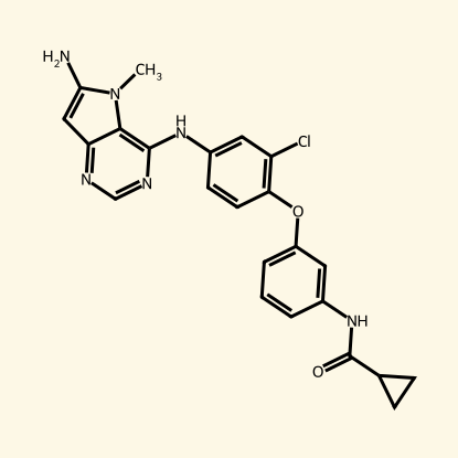 Cn1c(N)cc2ncnc(Nc3ccc(Oc4cccc(NC(=O)C5CC5)c4)c(Cl)c3)c21